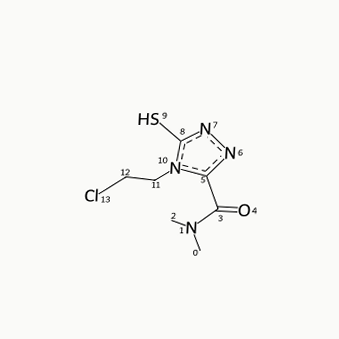 CN(C)C(=O)c1nnc(S)n1CCCl